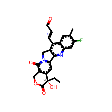 CC[C@@]1(O)C(=O)OCc2c1cc1n(c2=O)Cc2c-1nc1cc(F)c(C)cc1c2/C=C/C=O